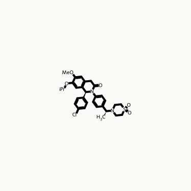 COc1cc2c(cc1OC(C)C)[C@H](c1ccc(Cl)cc1)N(c1ccc([C@@H](C)N3CCS(=O)(=O)CC3)cc1)C(=O)C2